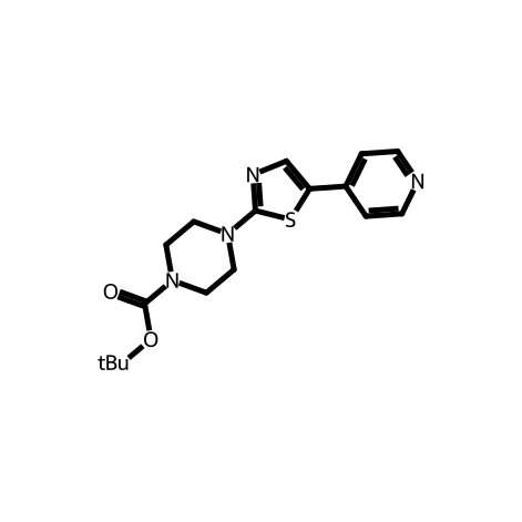 CC(C)(C)OC(=O)N1CCN(c2ncc(-c3ccncc3)s2)CC1